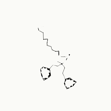 CCCCCCCCCCCCCCCCCCO[Si](=O)OC(C)(CCc1ccccc1)CCc1ccccc1